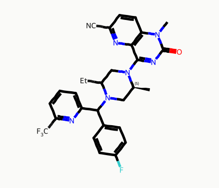 CCC1CN(c2nc(=O)n(C)c3ccc(C#N)nc23)[C@@H](C)CN1C(c1ccc(F)cc1)c1cccc(C(F)(F)F)n1